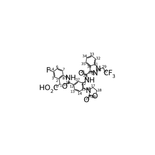 O=C(O)Cc1cc(F)ccc1NC(=O)c1ccc(N2CCOC2=O)c(NC(=O)c2nn(CC(F)(F)F)c3ccccc23)c1